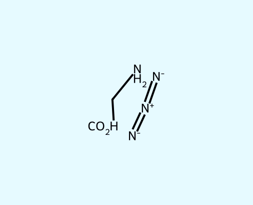 NCC(=O)O.[N-]=[N+]=[N-]